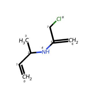 C=CC(C)NC(=C)CCl